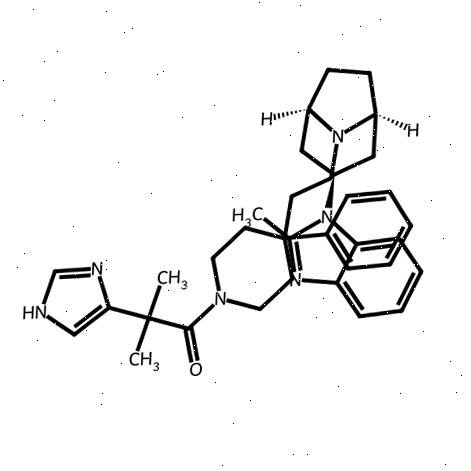 Cc1nc2ccccc2n1[C@H]1C[C@H]2CC[C@@H](C1)N2CCC1(c2ccccc2)CCN(C(=O)C(C)(C)c2c[nH]cn2)CC1